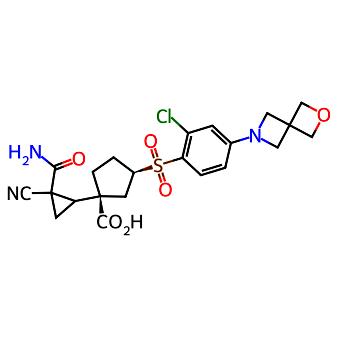 N#CC1(C(N)=O)CC1[C@]1(C(=O)O)CC[C@@H](S(=O)(=O)c2ccc(N3CC4(COC4)C3)cc2Cl)C1